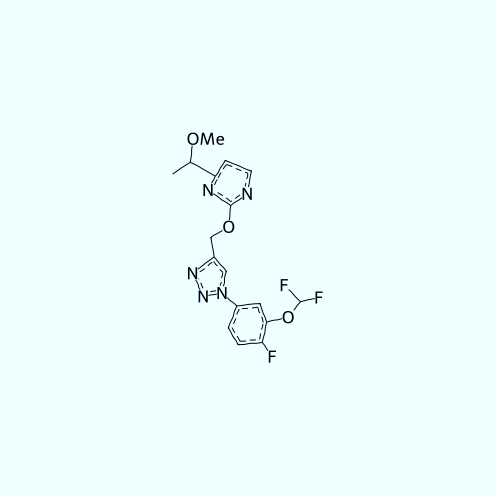 COC(C)c1ccnc(OCc2cn(-c3ccc(F)c(OC(F)F)c3)nn2)n1